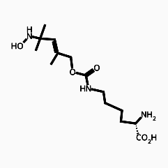 C/C(=C\C(C)(C)NO)COC(=O)NCCCC[C@H](N)C(=O)O